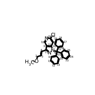 COCC=Cc1nn(C(c2ccccc2)(c2ccccc2)c2ccccc2)c2cc(Cl)ncc12